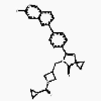 O=C(C1CC1)N1CC(CN2C(=O)C3(CC3)N=C2c2ccc(-c3ccc4cnc(F)cc4c3)cc2)C1